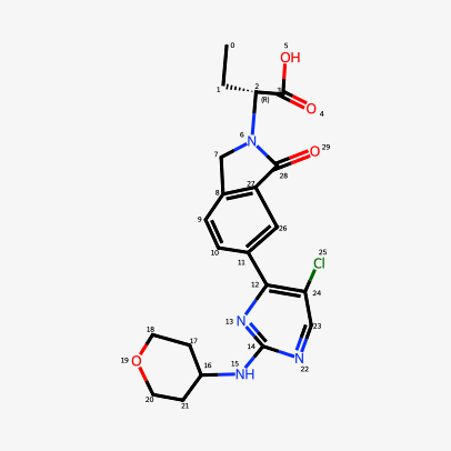 CC[C@H](C(=O)O)N1Cc2ccc(-c3nc(NC4CCOCC4)ncc3Cl)cc2C1=O